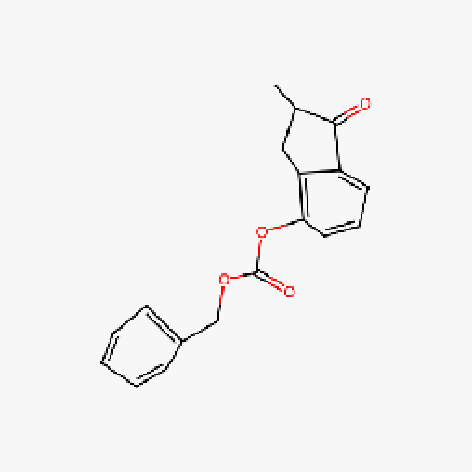 CC1Cc2c(OC(=O)OCc3ccccc3)cccc2C1=O